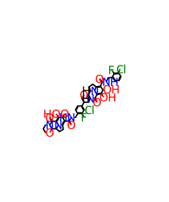 O=C(NCc1cccc(Cl)c1F)C1=C2CC[C@H]3[C@H]4OCC(c5ccc(CNC(=O)c6c7n8c(c(O)c6=O)C(=O)N6CCCOC6C8CC7)c(F)c5Cl)CN4C(=O)C(=C(O)C1O)N23